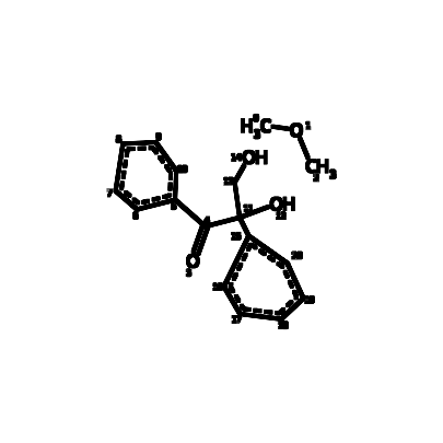 COC.O=C(c1ccccc1)C(O)(CO)c1ccccc1